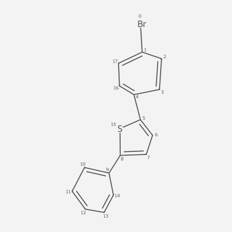 Brc1ccc(-c2ccc(-c3ccccc3)s2)cc1